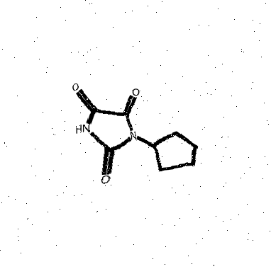 O=C1NC(=O)N(C2CCCC2)C1=O